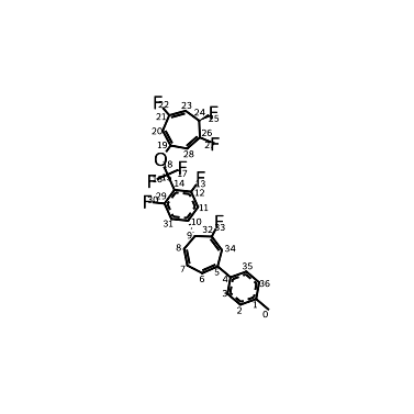 Cc1ccc(C2=CC=C[C@H](c3cc(F)c(C(F)(F)OC4=CC(F)=C[C@@H](F)C(F)=C4)c(F)c3)C(F)=C2)cc1